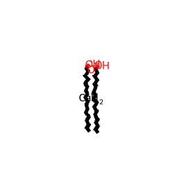 CCCCCCCCCCCCCCCCCC(=O)O.CCCCCCCCCCCCCCCCCCO.[CaH2]